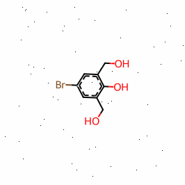 OCc1cc(Br)cc(CO)c1O